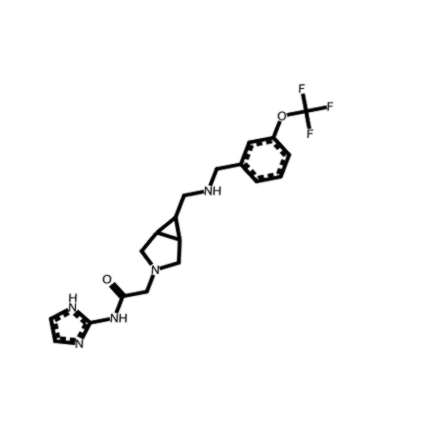 O=C(CN1CC2C(CNCc3cccc(OC(F)(F)F)c3)C2C1)Nc1ncc[nH]1